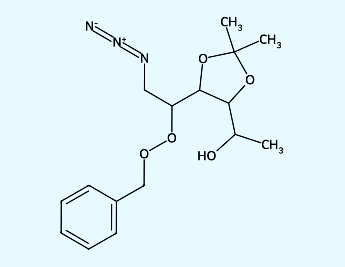 CC(O)C1OC(C)(C)OC1C(CN=[N+]=[N-])OOCc1ccccc1